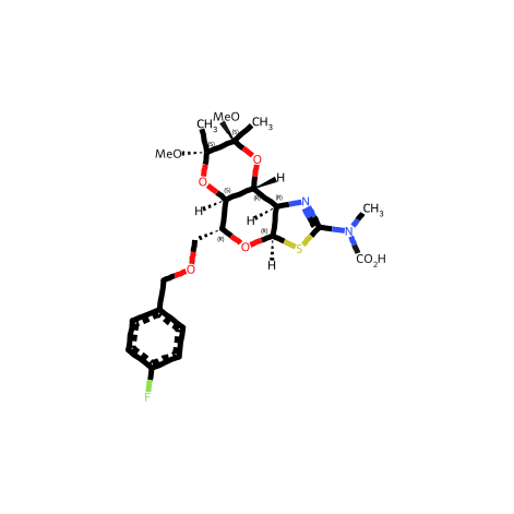 CO[C@@]1(C)O[C@@H]2[C@H]3N=C(N(C)C(=O)O)S[C@H]3O[C@H](COCc3ccc(F)cc3)[C@H]2O[C@]1(C)OC